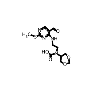 CSc1ncc(C=O)c(NCCN(C(=O)O)C2COCOC2)n1